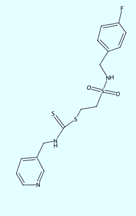 O=S(=O)(CCSC(=S)NCc1cccnc1)NCc1ccc(F)cc1